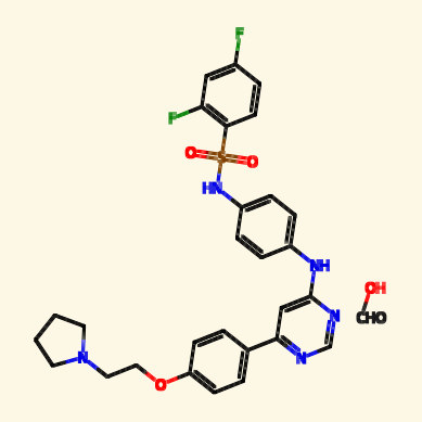 O=CO.O=S(=O)(Nc1ccc(Nc2cc(-c3ccc(OCCN4CCCC4)cc3)ncn2)cc1)c1ccc(F)cc1F